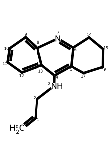 C=CCNc1c2c(nc3ccccc13)CCCC2